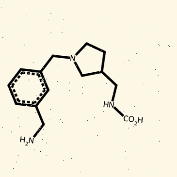 NCc1cccc(CN2CCC(CNC(=O)O)C2)c1